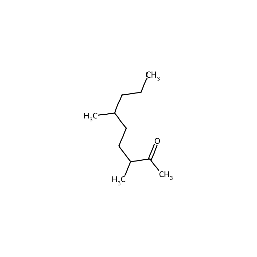 CCCC(C)CCC(C)C(C)=O